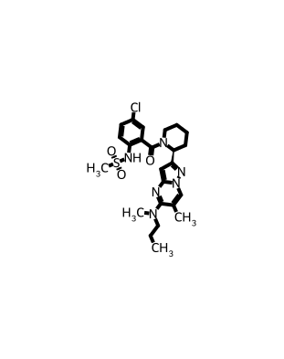 CCCN(C)c1nc2cc([C@@H]3CCCCN3C(=O)c3cc(Cl)ccc3NS(C)(=O)=O)nn2cc1C